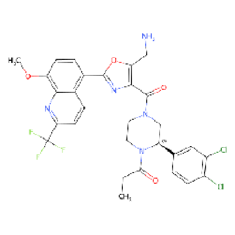 CCC(=O)N1CCN(C(=O)c2nc(-c3ccc(OC)c4nc(C(F)(F)F)ccc34)oc2CN)C[C@H]1c1ccc(Cl)c(Cl)c1